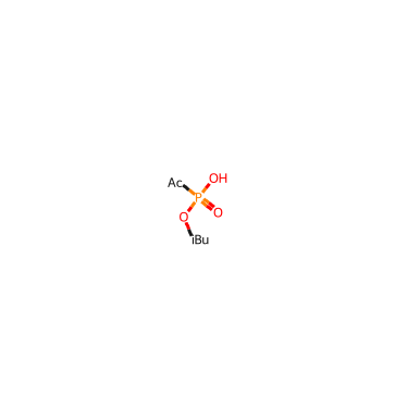 CCC(C)OP(=O)(O)C(C)=O